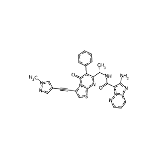 C[C@H](NC(=O)c1c(N)nc2cccnn12)c1nc2scc(C#Cc3cnn(C)c3)n2c(=O)c1-c1ccccc1